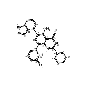 Nc1c(-c2cccc3[nH]ncc23)cc(-c2cccc(=O)[nH]2)c2nc(-c3cccnc3)[nH]c(=O)c12